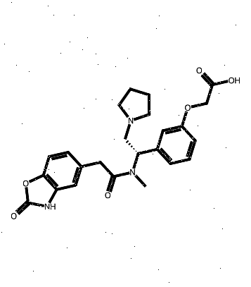 CN(C(=O)Cc1ccc2oc(=O)[nH]c2c1)[C@H](CN1CCCC1)c1cccc(OCC(=O)O)c1